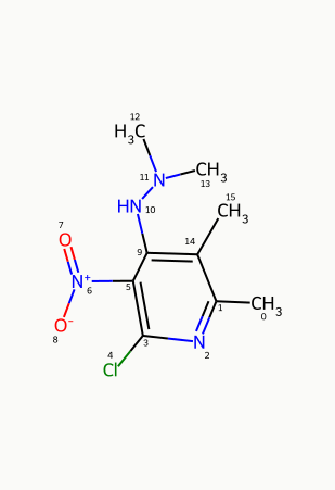 Cc1nc(Cl)c([N+](=O)[O-])c(NN(C)C)c1C